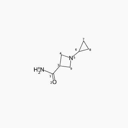 NC(=O)C1CN(C2CC2)C1